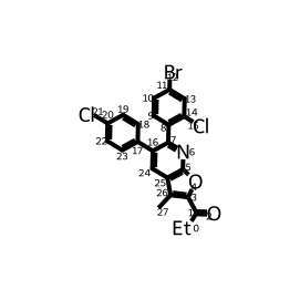 CCC(=O)c1oc2nc(-c3ccc(Br)cc3Cl)c(-c3ccc(Cl)cc3)cc2c1C